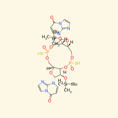 CC(C)(C)[Si](C)(C)O[C@@H]1[C@@H]2OP(=O)(S)OC[C@H]3O[C@@H](n4ccc(=O)n5ccnc45)[C@H](OP(=O)(S)OC[C@H]2O[C@H]1n1ccc(=O)n2ccnc12)[C@@H]3O[Si](C)(C)C(C)(C)C